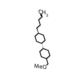 C=CCCC[C@H]1CC[C@H](C2CCC(COC)CC2)CC1